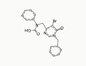 O=C(O)N(Cc1ncn(Cc2ccccc2)c(=O)c1Br)c1ccccc1